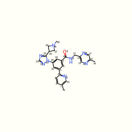 Cc1ccc(-c2cc(C(=O)NCc3cnc(C)cn3)cc(-n3ncnc3C3CN(C)C3)c2)nc1